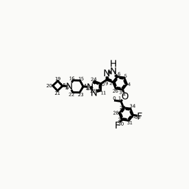 CC(Oc1ccc2[nH]nc(-c3cnn(C4CCN(C5CCC5)CC4)c3)c2c1)c1cc(F)cc(F)c1